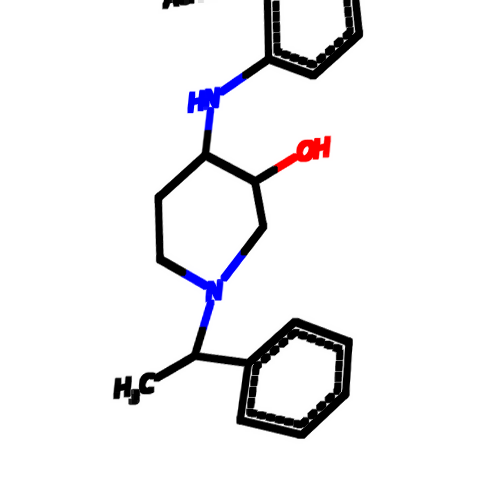 CC(=O)Nc1ccccc1NC1CCN(C(C)c2ccccc2)CC1O